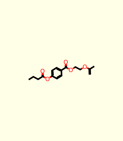 C=C(C)OCCOC(=O)c1ccc(OC(=O)CCC)cc1